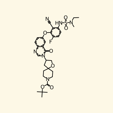 CCN(C)S(=O)(=O)Nc1ccc(F)c(Oc2ccc3ncn(C4COC5(CCN(C(=O)OC(C)(C)C)CC5)C4)c(=O)c3c2)c1C#N